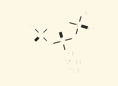 O=P(O)(O)OP(=O)(O)OP(=O)(O)O.[AlH3].[MgH2]